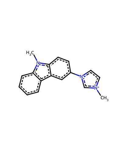 Cn1c2ccccc2c2cc(-n3cc[n+](C)c3)ccc21